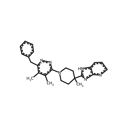 Cc1c(Cc2ccccc2)nnc(N2CCC(C)(c3nc4ncccc4[nH]3)CC2)c1C